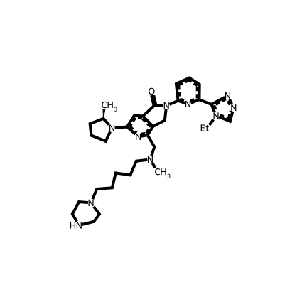 CCn1cnnc1-c1cccc(N2Cc3c(cc(N4CCC[C@H]4C)nc3CN(C)CCCCCN3CCNCC3)C2=O)n1